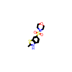 CC1Nc2ccc(S(=O)(=O)N3CCOCC3)cc2S1